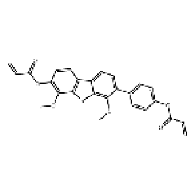 C=CC(=O)Oc1ccc(-c2ccc3c(sc4c(OC)c(OC(=O)C=C)ccc43)c2OC)cc1